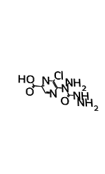 NNC(=O)N(N)c1ncc(C(=O)O)nc1Cl